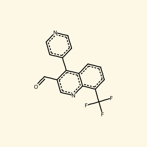 O=Cc1cnc2c(C(F)(F)F)cccc2c1-c1ccncc1